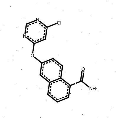 [NH]C(=O)c1cccc2cc(Oc3cc(Cl)ncn3)ccc12